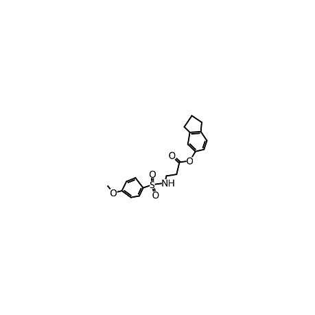 COc1ccc(S(=O)(=O)NCCC(=O)Oc2ccc3c(c2)CCC3)cc1